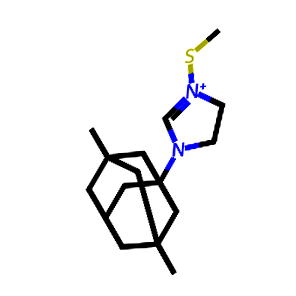 CS[N+]1=CN(C23CC4CC(C)(CC(C)(C4)C2)C3)CC1